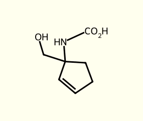 O=C(O)NC1(CO)C=CCC1